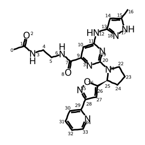 CC(=O)NCCNC(=O)c1cc(Nc2cc(C)[nH]n2)nc(N2CCC[C@H]2c2cc(-c3ccccn3)no2)n1